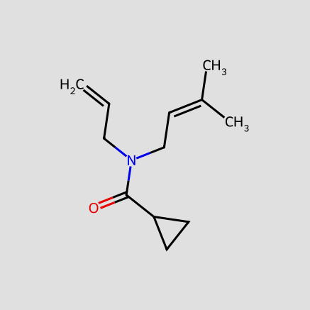 C=CCN(CC=C(C)C)C(=O)C1CC1